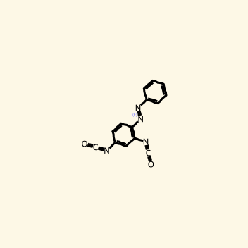 O=C=Nc1ccc(/N=N/c2ccccc2)c(N=C=O)c1